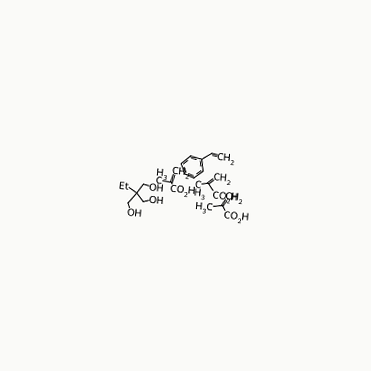 C=C(C)C(=O)O.C=C(C)C(=O)O.C=C(C)C(=O)O.C=Cc1ccccc1.CCC(CO)(CO)CO